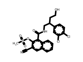 CS(=O)(=O)Oc1c(C#N)cc2ccccc2c1C(=O)NCC(CCO)c1ccc(Cl)c(Cl)c1